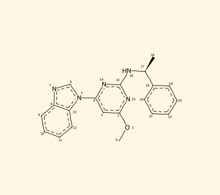 COc1cc(-n2cnc3ccccc32)nc(N[C@@H](C)c2ccccc2)n1